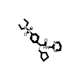 CCN(CC)S(=O)(=O)c1ccc([C@@H](CC2CCCC2)C(=O)Nc2ncccn2)cc1